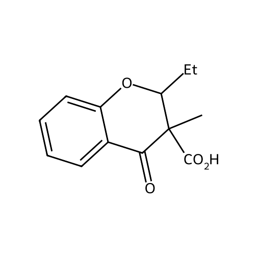 CCC1Oc2ccccc2C(=O)C1(C)C(=O)O